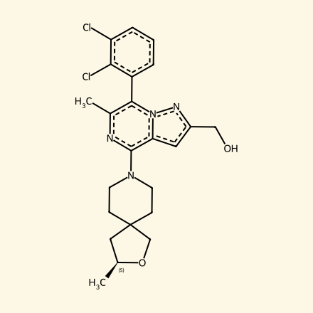 Cc1nc(N2CCC3(CC2)CO[C@@H](C)C3)c2cc(CO)nn2c1-c1cccc(Cl)c1Cl